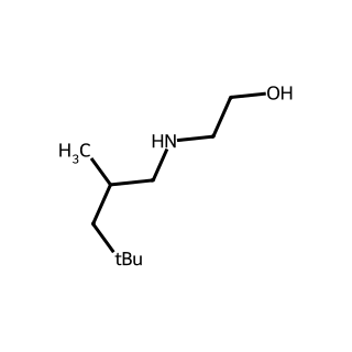 CC(CNCCO)CC(C)(C)C